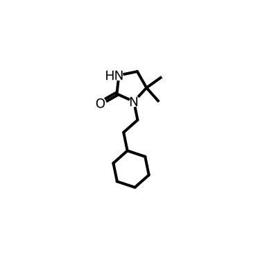 CC1(C)CNC(=O)N1CCC1CCCCC1